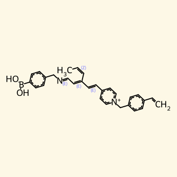 C=Cc1ccc(C[n+]2ccc(/C=C/C(/C=C\C)=C/C=N/Cc3ccc(B(O)O)cc3)cc2)cc1